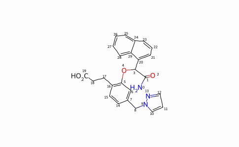 NC(=O)C(Oc1cc(Cn2cccn2)ccc1CCC(=O)O)c1cccc2ccccc12